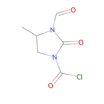 CC1CN(C(=O)Cl)C(=O)N1C=O